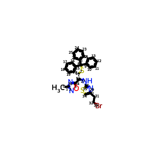 Cc1noc([C@H](CSC(c2ccccc2)(c2ccccc2)c2ccccc2)Nc2nc(CCBr)cs2)n1